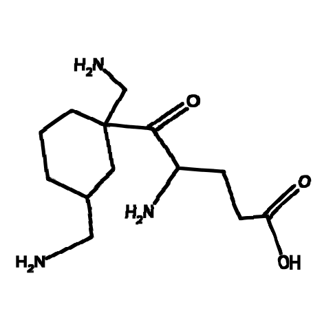 NCC1CCCC(CN)(C(=O)C(N)CCC(=O)O)C1